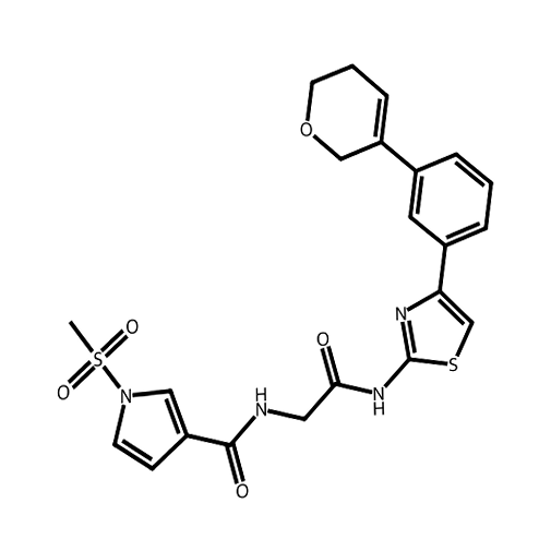 CS(=O)(=O)n1ccc(C(=O)NCC(=O)Nc2nc(-c3cccc(C4=CCCOC4)c3)cs2)c1